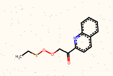 CCSOOCC(=O)c1ccc2ccccc2n1